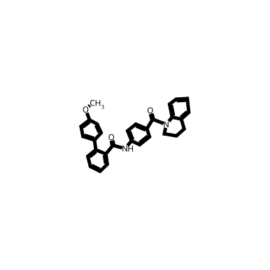 COc1ccc(-c2ccccc2C(=O)Nc2ccc(C(=O)N3CCCc4ccccc43)cc2)cc1